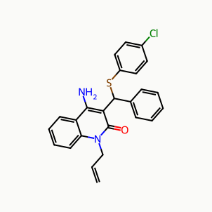 C=CCn1c(=O)c(C(Sc2ccc(Cl)cc2)c2ccccc2)c(N)c2ccccc21